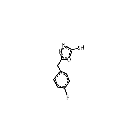 Fc1ccc(Cc2nnc(S)o2)cc1